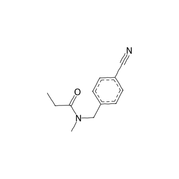 CCC(=O)N(C)Cc1ccc(C#N)cc1